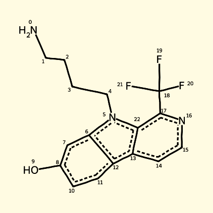 NCCCCn1c2cc(O)ccc2c2ccnc(C(F)(F)F)c21